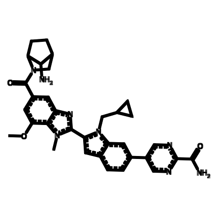 COc1cc(C(=O)N2CC3CCC2C3N)cc2nc(-c3cc4ccc(-c5cnc(C(N)=O)nc5)cc4n3CC3CC3)n(C)c12